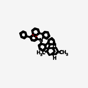 C[C@H]1C[C@@H]2C[C@H](C1)C1(c3ccccc3-c3c(N(c4ccc(-c5ccccc5)cc4)c4ccccc4-c4ccccc4)cccc31)[C@H](C)C2